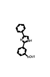 CCCCCCCCc1cccc(-c2nc(-c3ccccc3)c[nH]2)c1